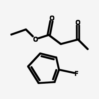 CCOC(=O)CC(C)=O.Fc1ccccc1